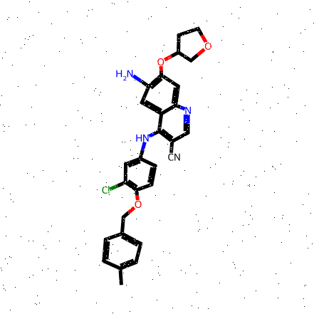 Cc1ccc(COc2ccc(Nc3c(C#N)cnc4cc(OC5CCOC5)c(N)cc34)cc2Cl)cc1